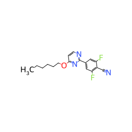 CCCCCCOc1ccnc(-c2cc(F)c(C#N)c(F)c2)n1